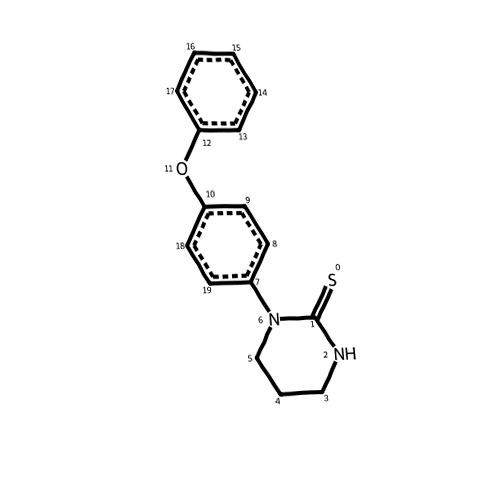 S=C1NCCCN1c1ccc(Oc2ccccc2)cc1